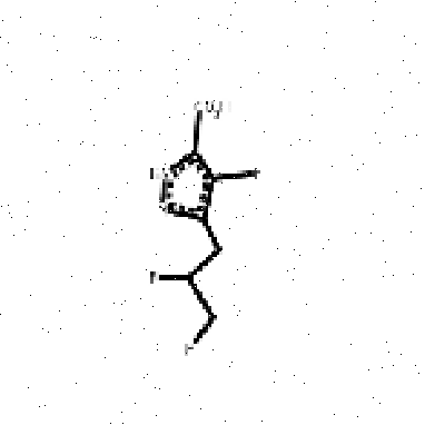 O=C(O)c1[nH]nc(CC(F)CF)c1F